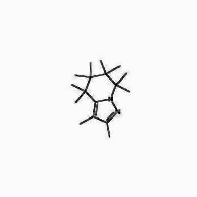 Cc1nn2c(c1C)C(C)(C)C(C)(C)C(C)(C)C2(C)C